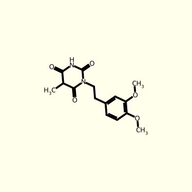 COc1ccc(CCN2C(=O)NC(=O)C(C)C2=O)cc1OC